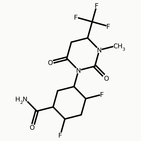 CN1C(=O)N(C2CC(C(N)=O)C(F)CC2F)C(=O)CC1C(F)(F)F